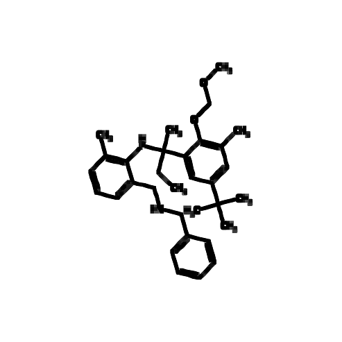 CCC(C)(Pc1c(C)cccc1CNCc1ccccc1)c1cc(C(C)(C)C)cc(C)c1OCOC